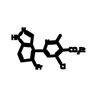 CCOC(=O)c1c(Cl)cc(-c2c(C(C)C)ccc3[nH]ncc23)nc1C